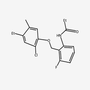 CCC(=O)Nc1cccc(F)c1COc1cc(C)c(CC)cc1Cl